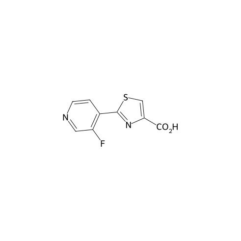 O=C(O)c1csc(-c2ccncc2F)n1